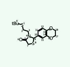 CC(C)(C)SCCN1C(=O)CSC1c1ccc2c(c1)OCCO2